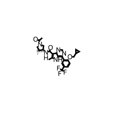 CC(=O)N1C[C@@H](C)[C@H](NC(=O)c2c(C)[nH]c3c(-c4cc(C(F)(F)F)ccc4OCC4CC4)ncnc23)C1